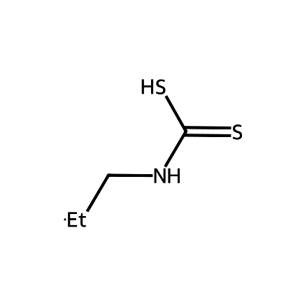 C[CH]CNC(=S)S